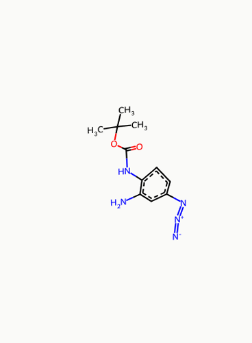 CC(C)(C)OC(=O)Nc1ccc(N=[N+]=[N-])cc1N